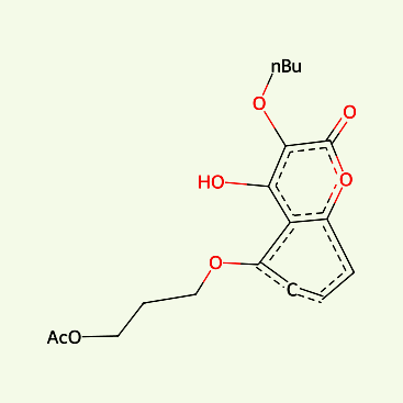 CCCCOc1c(O)c2c(OCCCOC(C)=O)cccc2oc1=O